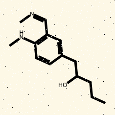 CCCC(O)Cc1ccc(NC)c(/C=N\C)c1